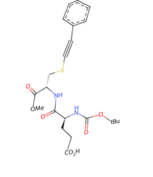 COC(=O)[C@H](CSC#Cc1ccccc1)NC(=O)[C@H](CCC(=O)O)NC(=O)OC(C)(C)C